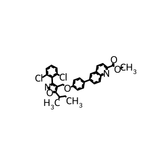 CCC(C)c1onc(-c2c(Cl)cccc2Cl)c1COc1ccc(-c2ccc3nc(C(=O)OC)ccc3c2)cc1